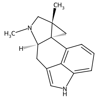 CN1C[C@]2(C)C[C@@]23c2cccc4[nH]cc(c24)C[C@@H]13